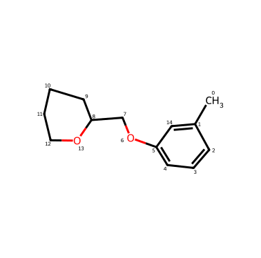 Cc1cccc(OCC2CCCCO2)c1